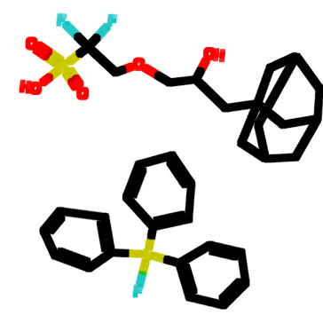 FS(c1ccccc1)(c1ccccc1)c1ccccc1.O=S(=O)(O)C(F)(F)COCC(O)CC12CC3CC(CC(C3)C1)C2